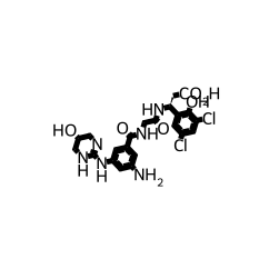 Nc1cc(NC2=NCC(O)CN2)cc(C(=O)NCC(=O)N[C@H](CC(=O)O)c2cc(Cl)cc(Cl)c2O)c1